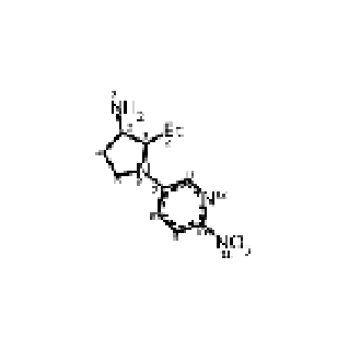 CCC1C(N)CCN1c1ccc([N+](=O)[O-])nc1